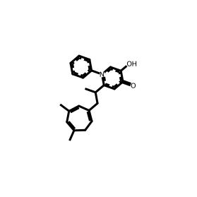 CC1=CC(CC(C)c2cc(=O)c(O)cn2-c2ccccc2)=CCC(C)=C1